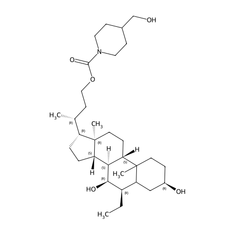 CC[C@@H]1C2C[C@H](O)CCC2(C)[C@H]2CC[C@]3(C)[C@@H]([C@H](C)CCOC(=O)N4CCC(CO)CC4)CC[C@H]3[C@@H]2[C@@H]1O